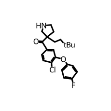 CC(C)(C)CCC1(C(=O)c2ccc(Cl)c(Oc3ccc(F)cc3)c2)CCNC1